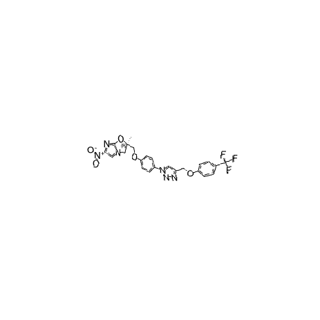 C[C@]1(COc2ccc(-n3cc(COc4ccc(C(F)(F)F)cc4)nn3)cc2)Cn2cc([N+](=O)[O-])nc2O1